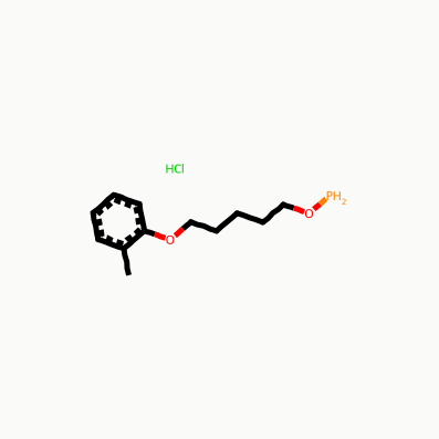 Cc1ccccc1OCCCCCOP.Cl